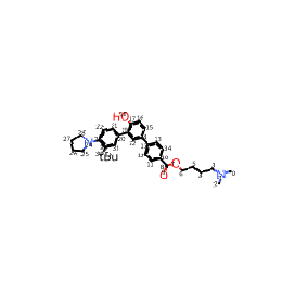 CN(C)CCCCOC(=O)c1ccc(-c2ccc(O)c(-c3ccc(N4CCCC4)c(C(C)(C)C)c3)c2)cc1